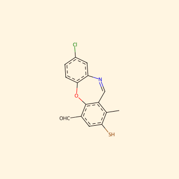 Cc1c(S)cc(C=O)c2c1C=Nc1cc(Cl)ccc1O2